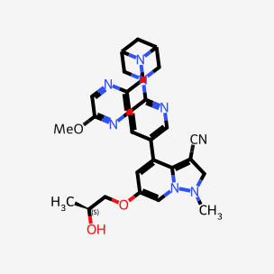 COc1cnc(CN2C3CC2CN(c2ccc(C4=CC(OC[C@H](C)O)=CN5C4=C(C#N)CN5C)cn2)C3)cn1